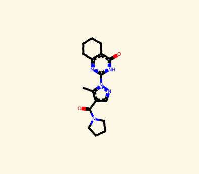 Cc1c(C(=O)N2CCCC2)cnn1-c1nc2c(c(=O)[nH]1)CCCC2